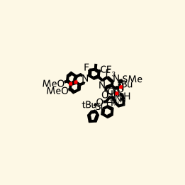 COc1ccc(CN(Cc2ccc(OC)cc2)c2cc(-c3nc4c5c(nc(SC)nc5c3F)N3C[C@H]5CC[C@@H]([C@H]3C(CO[Si](c3ccccc3)(c3ccccc3)C(C)(C)C)O4)N5C(=O)OC(C)(C)C)c(C(F)(F)F)c(C)c2F)cc1